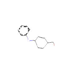 Cl.OCC1CCC(Nc2ccccc2)CC1